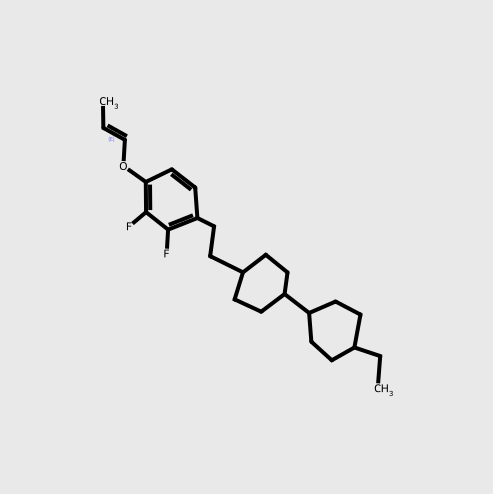 C/C=C/Oc1ccc(CCC2CCC(C3CCC(CC)CC3)CC2)c(F)c1F